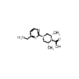 C[C@@H]1CN(c2nccc(CN)n2)C[C@H](C)N1C(=O)O